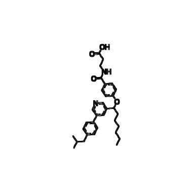 CCCCCCC(Oc1ccc(C(=O)NCCC(=O)O)cc1)c1cncc(-c2ccc(CC(C)C)cc2)c1